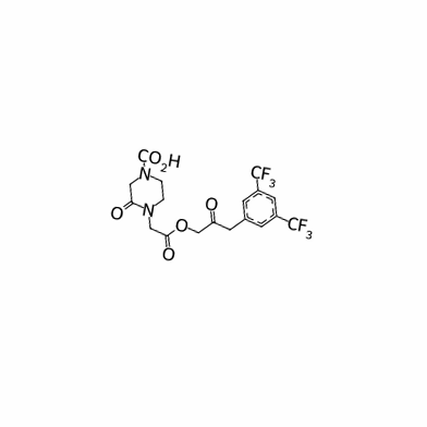 O=C(COC(=O)CN1CCN(C(=O)O)CC1=O)Cc1cc(C(F)(F)F)cc(C(F)(F)F)c1